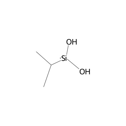 CC(C)[Si](O)O